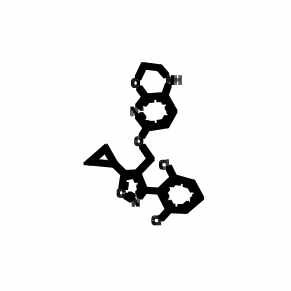 Clc1cccc(Cl)c1-c1noc(C2CC2)c1COc1ccc2c(n1)OCCN2